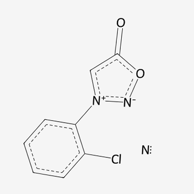 O=c1c[n+](-c2ccccc2Cl)[n-]o1.[N]